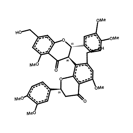 COc1ccc([C@@H]2CC(=O)c3c(OC)cc(CO)c([C@H]4C(=O)c5c(OC)cc(CO)cc5O[C@@H]4c4ccc(OC)c(OC)c4)c3O2)cc1OC